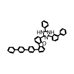 c1ccc(-c2ccc(-c3ccc(-c4cccc5oc6c(C7=NC(c8cccc(-c9ccccc9)c8)NC(c8ccccc8)N7)cccc6c45)cc3)cc2)cc1